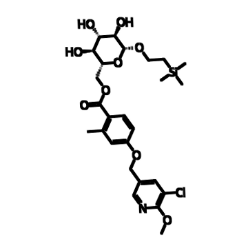 COc1ncc(COc2ccc(C(=O)OC[C@H]3O[C@@H](OCC[Si](C)(C)C)[C@H](O)[C@@H](O)[C@@H]3O)c(C)c2)cc1Cl